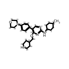 CC1CCC(Nc2ncc(-c3ccc(N4CCOCC4)cc3)c(OCC3CCNCC3)n2)CC1